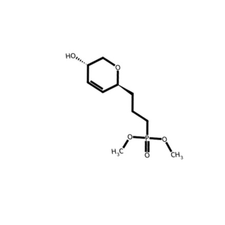 COP(=O)(CCC[C@H]1C=C[C@H](O)CO1)OC